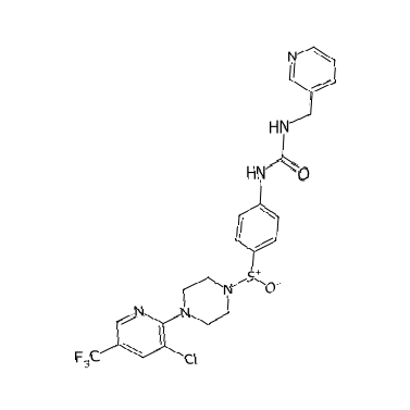 O=C(NCc1cccnc1)Nc1ccc([S+]([O-])N2CCN(c3ncc(C(F)(F)F)cc3Cl)CC2)cc1